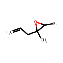 [CH2]CC1OC1(C)CC=C